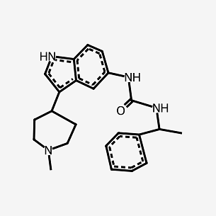 CC(NC(=O)Nc1ccc2[nH]cc(C3CCN(C)CC3)c2c1)c1ccccc1